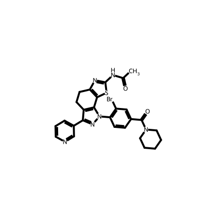 CC(=O)Nc1nc2c(s1)-c1c(c(-c3cccnc3)nn1-c1ccc(C(=O)N3CCCCC3)cc1Br)CC2